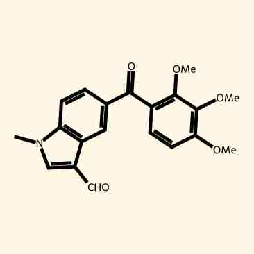 COc1ccc(C(=O)c2ccc3c(c2)c(C=O)cn3C)c(OC)c1OC